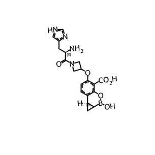 N[C@H](Cc1c[nH]cn1)C(=O)N1CC(Oc2ccc3c(c2C(=O)O)OB(O)C2C[C@@H]32)C1